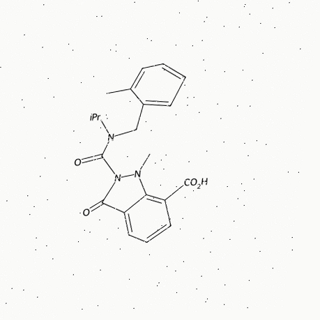 Cc1ccccc1CN(C(=O)n1c(=O)c2cccc(C(=O)O)c2n1C)C(C)C